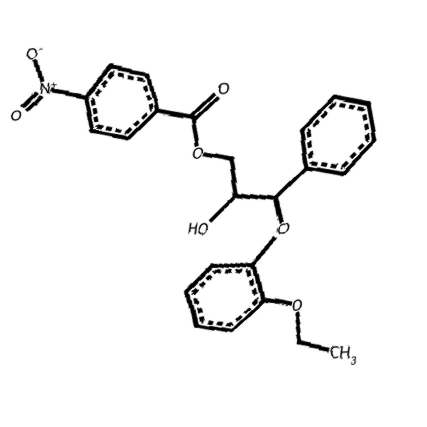 CCOc1ccccc1OC(c1ccccc1)C(O)COC(=O)c1ccc([N+](=O)[O-])cc1